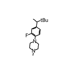 CC(c1ccc(N2CCN(C)CC2)c(F)c1)C(C)(C)C